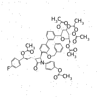 CC(=O)OC[C@H]1OC(c2cccc(-c3ccc([C@@H]4[C@@H](CC[C@H](OC(C)=O)c5ccc(F)cc5)C(=O)N4c4ccc(OC(C)=O)cc4)c(OCc4ccccc4)c3)c2)[C@H](OC(C)=O)[C@@H](OC(C)=O)[C@@H]1OC(C)=O